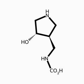 O=C(O)NC[C@@H]1CNC[C@H]1O